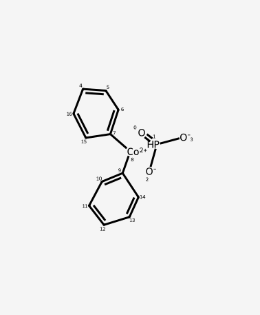 O=[PH]([O-])[O-].c1cc[c]([Co+2][c]2ccccc2)cc1